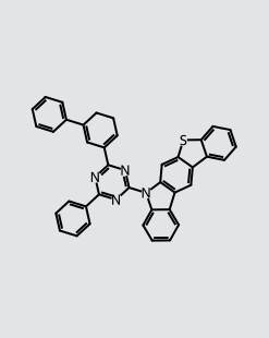 C1=C(c2ccccc2)CCC=C1c1nc(-c2ccccc2)nc(-n2c3ccccc3c3cc4c(cc32)sc2ccccc24)n1